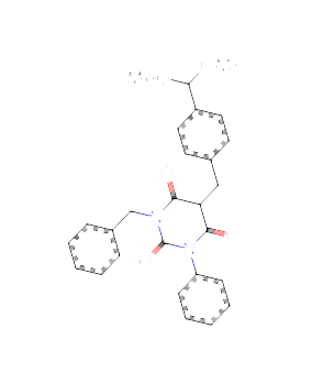 COC(OC)c1ccc(CC2C(=O)N(Cc3ccccc3)C(=O)N(c3ccccc3)C2=O)cc1